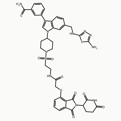 NC(=S)c1cccc(-c2cn(C3CCN(S(=O)(=O)CCNC(=O)COc4cccc5c4C(=O)N(C4CCC(=O)NC4=O)C5=O)CC3)c3cc(CNc4nnc(N)s4)ccc23)c1